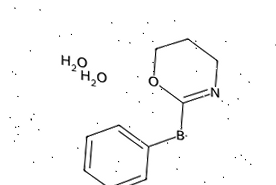 O.O.[B](C1=NCCCO1)c1ccccc1